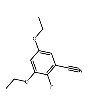 CCOc1cc(C#N)c(F)c(OCC)c1